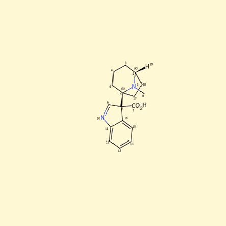 CN1[C@@H]2CCC[C@@]1(C1(C(=O)O)C=Nc3ccccc31)CC2